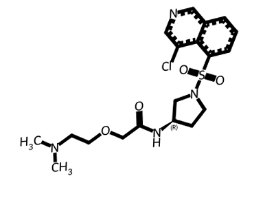 CN(C)CCOCC(=O)N[C@@H]1CCN(S(=O)(=O)c2cccc3cncc(Cl)c23)C1